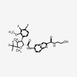 COc1c([C@H]2[C@H](C(=O)Nc3ccc4nc(C(=O)NCCO)cn4c3)O[C@@](C)(C(F)(F)F)[C@H]2C)ccc(F)c1F